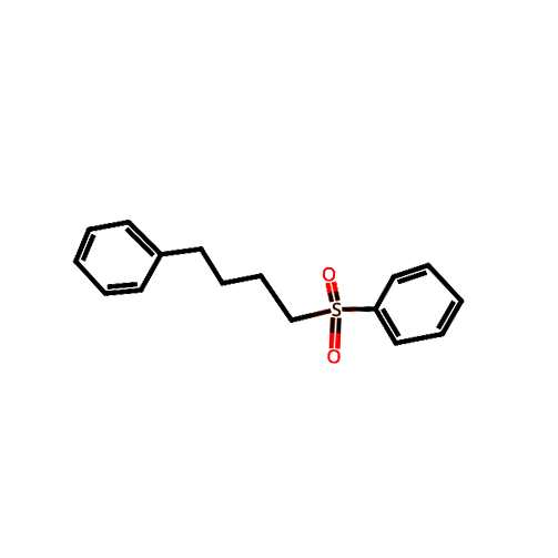 O=S(=O)(CCCCc1ccccc1)c1ccccc1